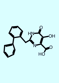 O=C(O)c1nc(Cc2ccccc2-c2ccccc2)[nH]c(=O)c1O